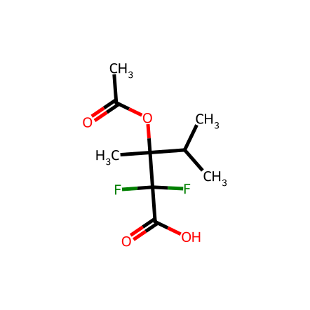 CC(=O)OC(C)(C(C)C)C(F)(F)C(=O)O